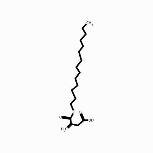 C=C(CC(=O)O)C(=O)OCCCCCCCCCCCCCC